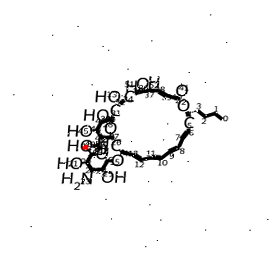 CCCC[C@@H]1C/C=C/C=C/C=C/C=C/[C@H](O[C@@H]2O[C@H](C)[C@@H](O)[C@H](N)[C@@H]2O)C[C@@H]2O[C@](O)(C[C@@H](O)C[C@H]3O[C@@H]3/C=C/C(=O)O1)C[C@H](O)[C@H]2C(=O)O